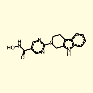 O=C(NO)c1cnc(N2CCc3c([nH]c4ccccc34)C2)nc1